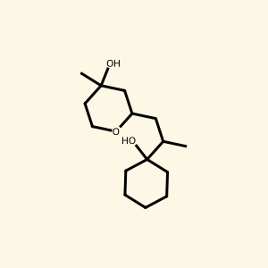 CC(CC1CC(C)(O)CCO1)C1(O)CCCCC1